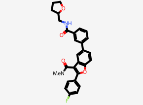 CNC(=O)c1c(-c2ccc(F)cc2)oc2ccc(-c3cccc(C(=O)NCC4CCCO4)c3)cc12